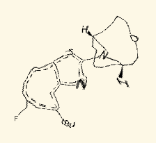 CC(C)(C)c1c(F)ccc2sc(N3[C@@H]4CC[C@H]3COC4)nc12